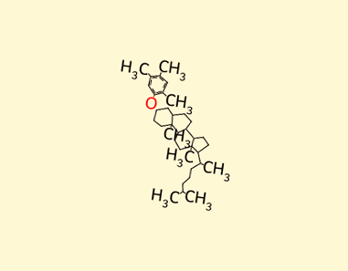 Cc1cc(C)c(OC2CCC3(C)C(CCC4C3CCC3(C)C(C(C)CCCC(C)C)CCC43)C2)cc1C